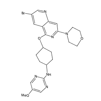 COc1cnc(NC2CCC(Oc3nc(N4CCOCC4)cc4ncc(Br)cc34)CC2)nc1